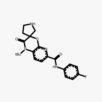 CC(C)(C)N1C(=O)C2(CCNC2)Oc2nc(C(=O)Nc3ccc(F)cc3)ccc21